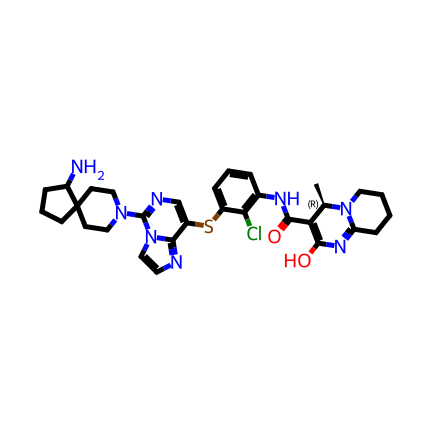 C[C@@H]1C(C(=O)Nc2cccc(Sc3cnc(N4CCC5(CCCC5N)CC4)n4ccnc34)c2Cl)=C(O)N=C2CCCCN21